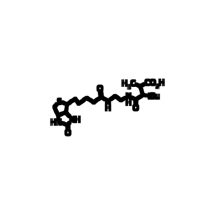 CC(C(=O)O)C(C(=O)NCCNC(=O)CCCCC1SCC2NC(=O)NC21)C(C)(C)C